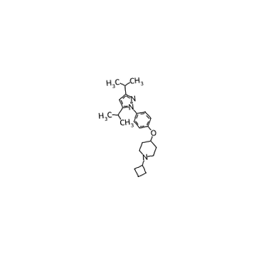 CC(C)c1cc(C(C)C)n(-c2ccc(OC3CCN(C4CCC4)CC3)cc2)n1